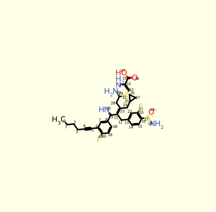 CCCCC#Cc1cc(C(=N)/C(Cc2ccc([S+](N)[O-])c(F)c2)=C(/CC2CC2)CC(N)S/C=C(\N)C(=O)O)ccc1F